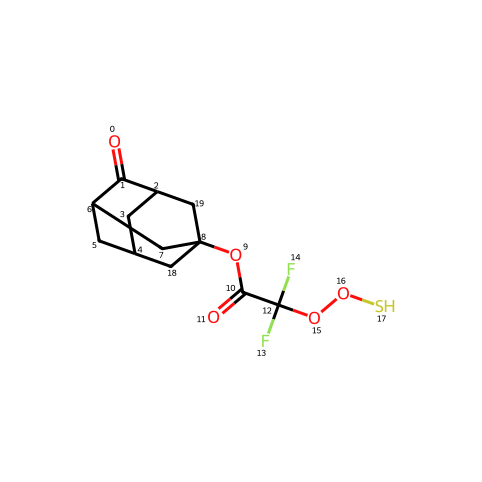 O=C1C2CC3CC1CC(OC(=O)C(F)(F)OOS)(C3)C2